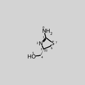 NC1=N[C@@H](CO)CS1